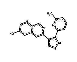 Cc1cccc(-c2[nH]ncc2-c2ccc3ncc(O)cc3c2)n1